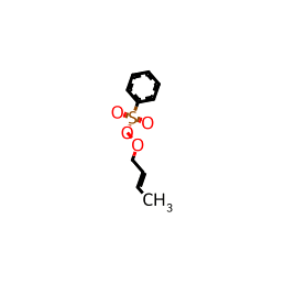 CC=CCOOS(=O)(=O)c1ccccc1